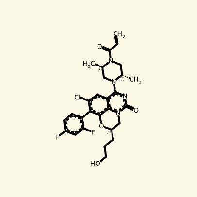 C=CC(=O)N1C[C@H](C)N(c2nc(=O)n3c4c(c(-c5ccc(F)cc5F)c(Cl)cc24)O[C@H](CCCO)C3)C[C@H]1C